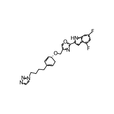 Fc1cc(F)c2cc(-c3nc(CO[C@H]4C=CC(CCCCn5ccnn5)=CC4)co3)[nH]c2c1